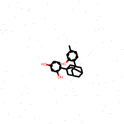 Cc1ccc(C23CC4CC(C2)CC(c2ccc(O)cc2O)(C4)C3)c(O)c1